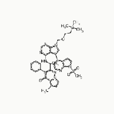 Cc1ccn2nc(C(C)Nc3ncnc4c3c(-c3ccnc5c3ccn5S(C)(=O)=O)cn4COCC[Si](C)(C)C)n(-c3ccccc3)c(=O)c12